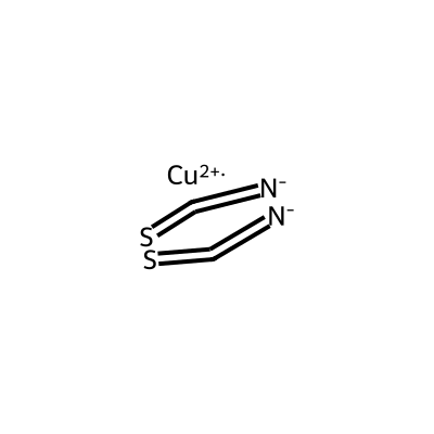 [Cu+2].[N-]=C=S.[N-]=C=S